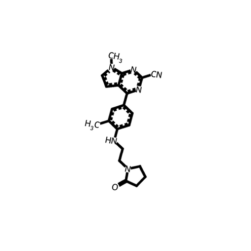 Cc1cc(-c2nc(C#N)nc3c2ccn3C)ccc1NCCN1CCCC1=O